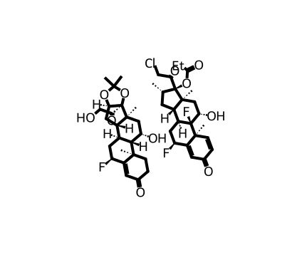 CC1(C)O[C@@H]2C[C@H]3[C@@H]4C[C@H](F)C5=CC(=O)CC[C@]5(C)[C@H]4[C@@H](O)C[C@]3(C)[C@]2(C(=O)CO)O1.CCC(=O)O[C@]1(C(=O)CCl)[C@@H](C)C[C@H]2[C@@H]3C[C@H](F)C4=CC(=O)C=C[C@]4(C)[C@@]3(F)[C@@H](O)C[C@@]21C